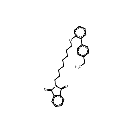 CCc1ccc(-c2ccccc2OCCCCCCCCN2C(=O)c3ccccc3C2=O)cc1